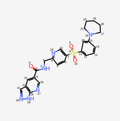 O=C(NCc1ccc(S(=O)(=O)c2cccc(N3CCCCC3)c2)cn1)c1cnc2[nH]ncc2c1